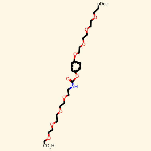 CCCCCCCCCCCCOCCOCCOCCOc1ccc(OC(=O)NCCOCCOCCOCCOCC(=O)O)cc1